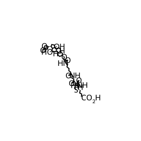 C[C@]12CC[C@H](OCC(=O)NCCCCCC(=O)NCCC(=O)N3C(=O)N[C@@H]4[C@H](CCCCC(=O)O)SC[C@@H]43)C[C@H]1CCC1[C@@H]2C[C@@H](O)C2[C@@H](C3=CC(=O)OC3)CC[C@@]21O